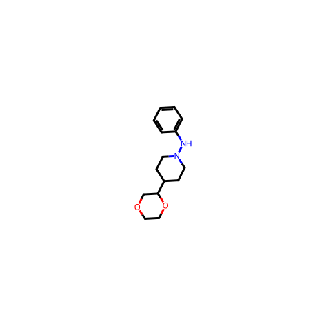 c1ccc(NN2CCC(C3COCCO3)CC2)cc1